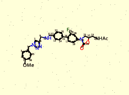 COc1ccc(Cn2cc(CNCc3ccc(-c4ccc(N5CC(CNC(C)=O)OC5=O)cc4F)cc3)nn2)cc1